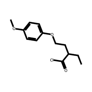 CCC(CCOc1ccc(OC)cc1)C(=O)Cl